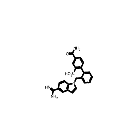 N=C(N)c1ccc2c(ccn2Cc2ccccc2-c2ccc(C(N)=O)cc2C(=O)O)c1